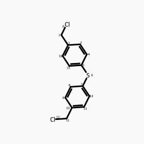 ClCc1ccc(Sc2ccc(CCl)cc2)cc1